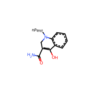 CCCCCN1CC(C(N)=O)=C(O)c2ccccc21